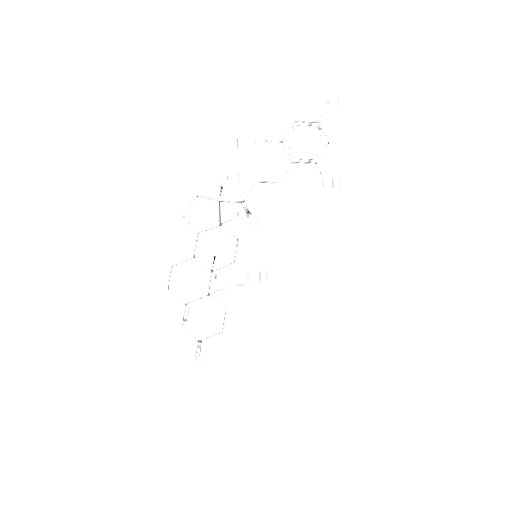 Cc1cc(C)c(OCC(=O)[C@@]2(O)CCC3C4CCC5=CC(=O)CCC5(C)[C@@]4(F)[C@@H](O)CC32C)c(C)c1